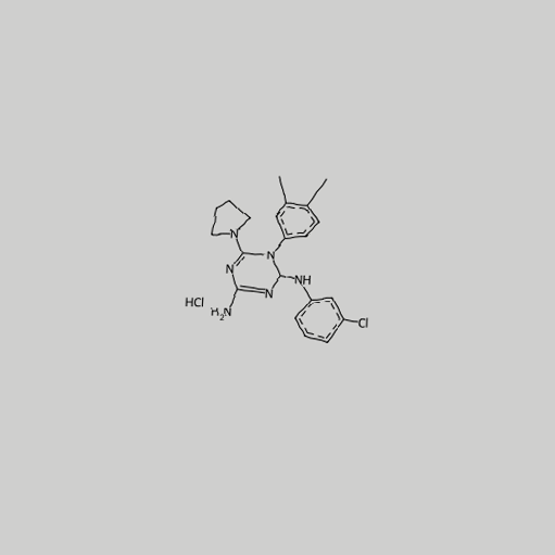 Cc1ccc(N2C(N3CCCC3)=NC(N)=NC2Nc2cccc(Cl)c2)cc1C.Cl